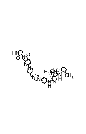 Cc1cccc(C)c1Nc1nn(C)c2nc(Nc3ccc(N4CCN(CC5CCN(c6ccc7c(n6)CN(C6CCCNC6=O)C7=O)CC5)CC4)cc3)ncc12